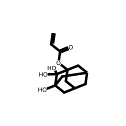 C=CC(=O)OC12CC3CC(CC(O)(C3)C1(O)O)C2